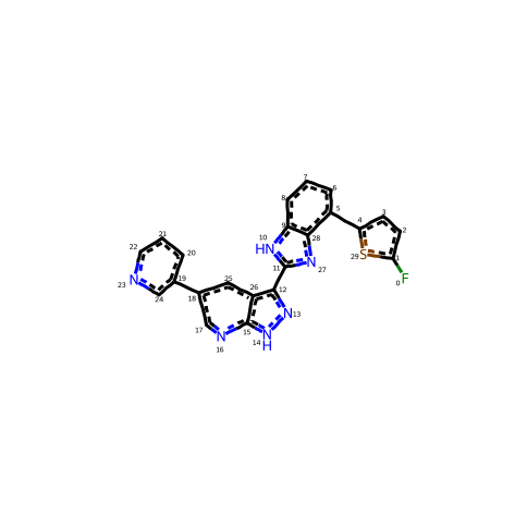 Fc1ccc(-c2cccc3[nH]c(-c4n[nH]c5ncc(-c6cccnc6)cc45)nc23)s1